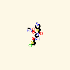 CCNC(=O)OC[C@@H]1C[C@@H](NC(=O)c2ccc(Cl)s2)CN1C(=O)c1cc2c(s1)CCN(C)CC2